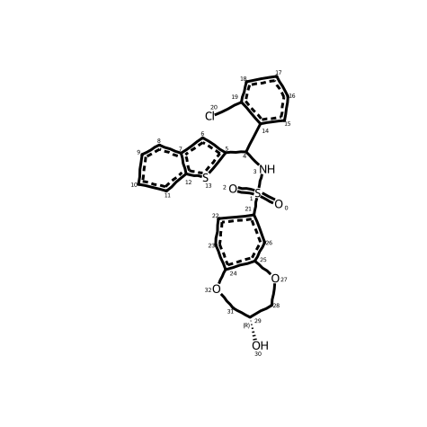 O=S(=O)(NC(c1cc2ccccc2s1)c1ccccc1Cl)c1ccc2c(c1)OC[C@H](O)CO2